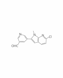 Cn1c(-c2cncc(C=O)c2)cc2ccc(Cl)nc21